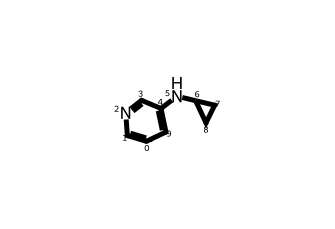 [c]1cncc(NC2CC2)c1